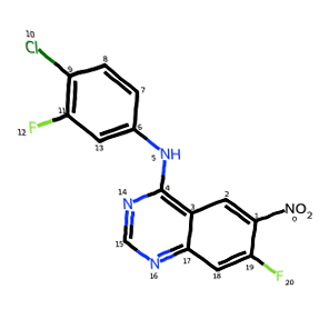 O=[N+]([O-])c1cc2c(Nc3ccc(Cl)c(F)c3)ncnc2cc1F